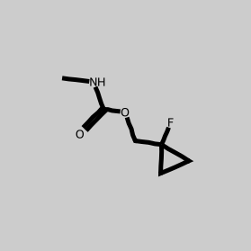 CNC(=O)OCC1(F)CC1